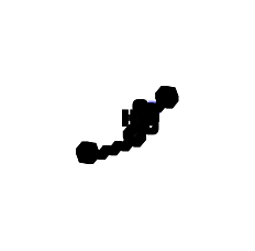 O=C(NS(=O)(=O)/C=C/c1ccccc1)N1CCC(CCCCCc2ccccc2)CC1